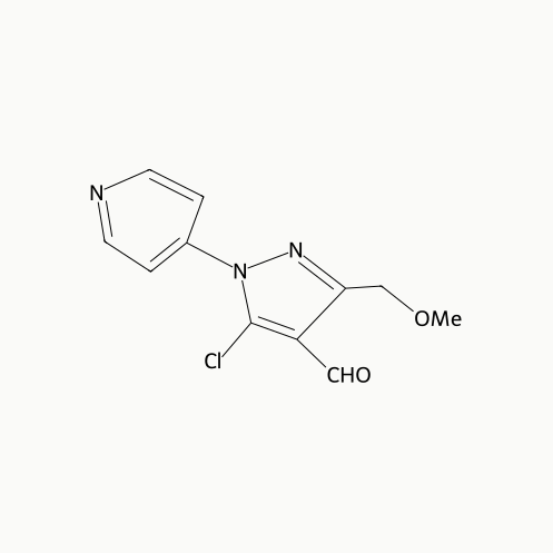 COCc1nn(-c2ccncc2)c(Cl)c1C=O